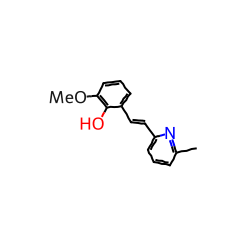 COc1cccc(/C=C/c2cccc(C)n2)c1O